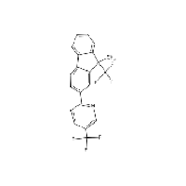 CC1(C(F)(F)F)c2ccccc2-c2ccc(-c3ccc(C(F)(F)F)cn3)cc21